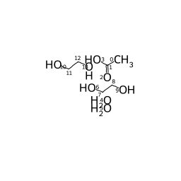 CC(=O)O.O.O.OCCO.OCCO